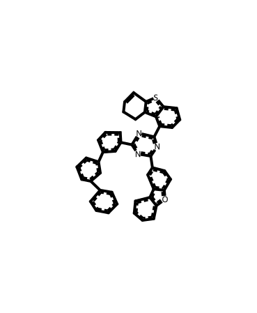 C1=Cc2sc3cccc(-c4nc(-c5cccc(-c6cccc(-c7ccccc7)c6)c5)nc(-c5ccc6oc7ccccc7c6c5)n4)c3c2CC1